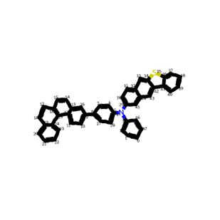 c1ccc(N(c2ccc(-c3ccc4c(ccc5ccc6ccccc6c54)c3)cc2)c2ccc3cc4sc5ccccc5c4cc3c2)cc1